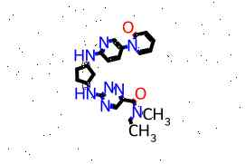 CCN(C)C(=O)c1cnc(N[C@H]2CC[C@H](Nc3ccc(-n4ccccc4=O)cn3)C2)nn1